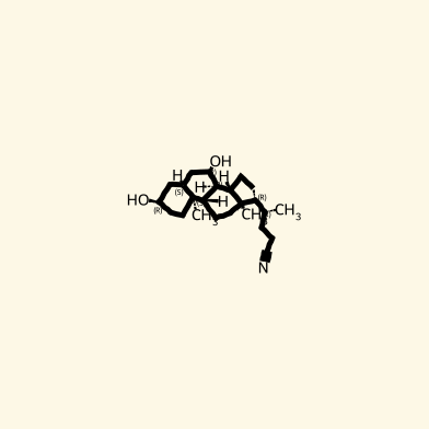 C[C@H](CCC#N)[C@H]1CC[C@H]2[C@@H]3[C@H](O)C[C@@H]4C[C@H](O)CC[C@]4(C)[C@H]3CC[C@]12C